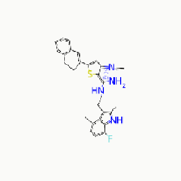 C=C/N=C1/C=C(C2=Cc3ccccc3CC2)S/C1=C(/N)NCCc1c(C)[nH]c2c(F)ccc(C)c12